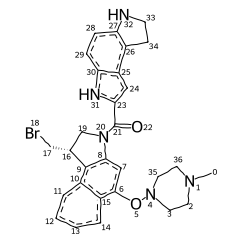 CN1CCN(Oc2cc3c(c4ccccc24)[C@H](CBr)CN3C(=O)c2cc3c4c(ccc3[nH]2)NCC4)CC1